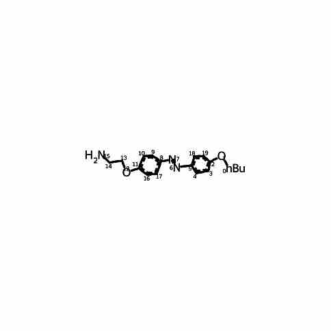 CCCCOc1ccc(N=Nc2ccc(OCCN)cc2)cc1